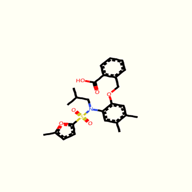 Cc1ccc(S(=O)(=O)N(CC(C)C)c2cc(C)c(C)cc2OCc2ccccc2C(=O)O)o1